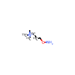 C[N+]([13CH3])([13CH3])[13CH2][13CH2]CON